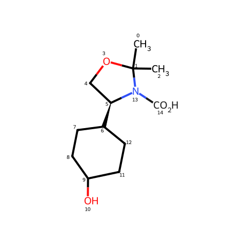 CC1(C)OC[C@H](C2CCC(O)CC2)N1C(=O)O